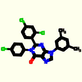 Cc1cc(C)cc(-n2cnc3c(=O)n(-c4ccc(Cl)cc4)c(-c4ccc(Cl)cc4Cl)nc32)c1